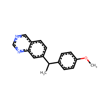 COc1ccc(C(C)c2ccc3cncnc3c2)cc1